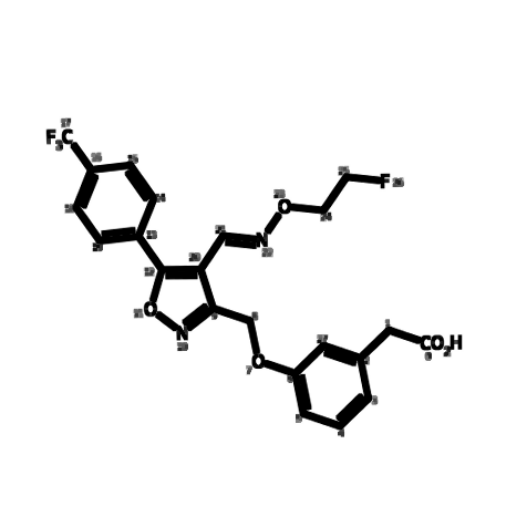 O=C(O)Cc1cccc(OCc2noc(-c3ccc(C(F)(F)F)cc3)c2C=NOCCF)c1